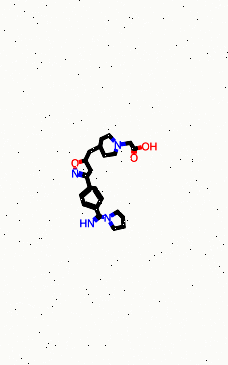 N=C(c1ccc(C2=NOC(CC3CCN(CC(=O)O)CC3)C2)cc1)N1CCCC1